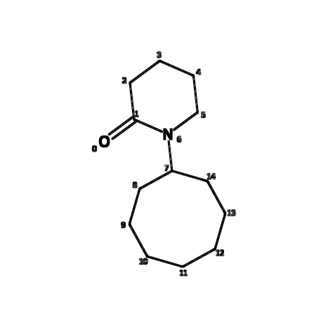 O=C1CCCCN1C1CCCCCCC1